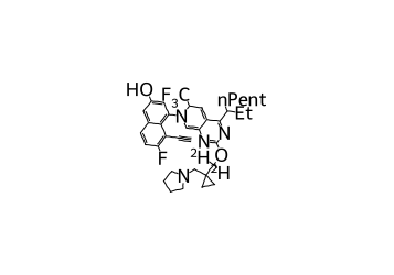 [2H]C([2H])(Oc1nc(C(CC)CCCCC)c2c(n1)=CN(c1cc(O)cc3ccc(F)c(C#C)c13)C(C(F)(F)F)C=2)C1(CN2CCCC2)CC1